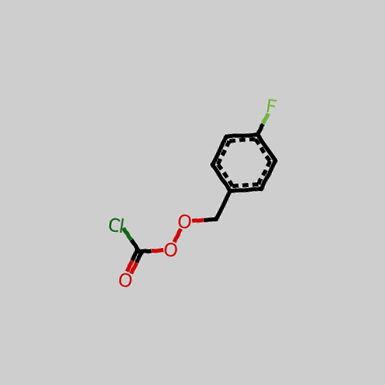 O=C(Cl)OOCc1ccc(F)cc1